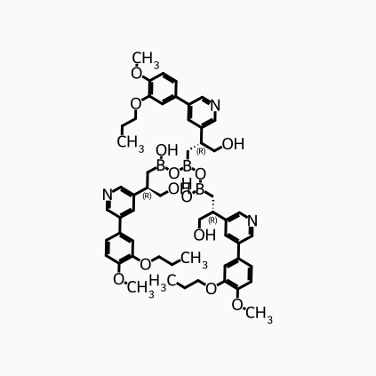 CCCOc1cc(-c2cncc([C@H](CO)CB(O)OB(C[C@@H](CO)c3cncc(-c4ccc(OC)c(OCCC)c4)c3)OB(O)C[C@@H](CO)c3cncc(-c4ccc(OC)c(OCCC)c4)c3)c2)ccc1OC